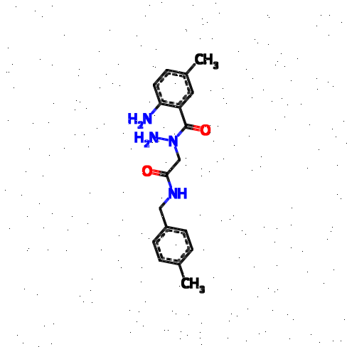 Cc1ccc(CNC(=O)CN(N)C(=O)c2cc(C)ccc2N)cc1